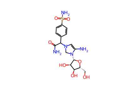 NC(=O)C(c1ccc(S(N)(=O)=O)cc1)N1C=C(N)N([C@@H]2O[C@H](CO)[C@@H](O)[C@H]2O)C1